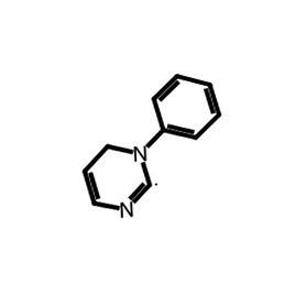 [C]1=NC=CCN1c1ccccc1